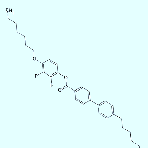 CCCCCCCOc1ccc(OC(=O)c2ccc(-c3ccc(CCCCCC)cc3)cc2)c(F)c1F